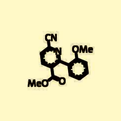 COC(=O)c1ccc(C#N)nc1-c1ccccc1OC